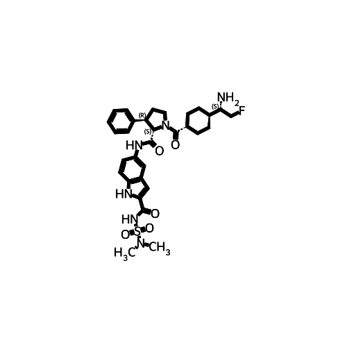 CN(C)S(=O)(=O)NC(=O)c1cc2cc(NC(=O)[C@@H]3[C@@H](c4ccccc4)CCN3C(=O)[C@H]3CC[C@H]([C@H](N)CF)CC3)ccc2[nH]1